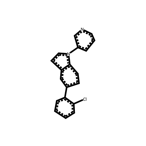 Clc1ccccc1-c1ccc2c(ccn2-c2cccnc2)c1